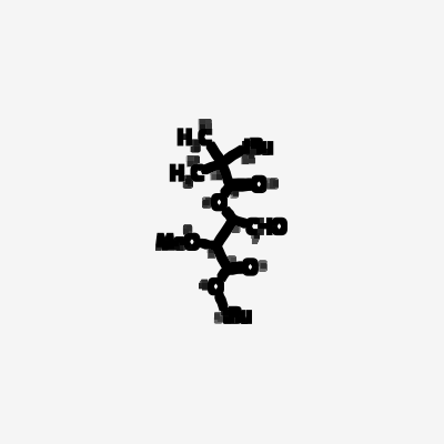 COC(C(=O)OC(C)(C)C)C(C=O)OC(=O)C(C)(C)C(C)(C)C